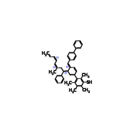 C=C/C=C\C=C(\C)C/C(c1ccccc1)=c1/cc(-c2c(C)c(C)c(C)c(S)c2C)cc/c1=C\c1ccc(-c2ccccc2)cc1